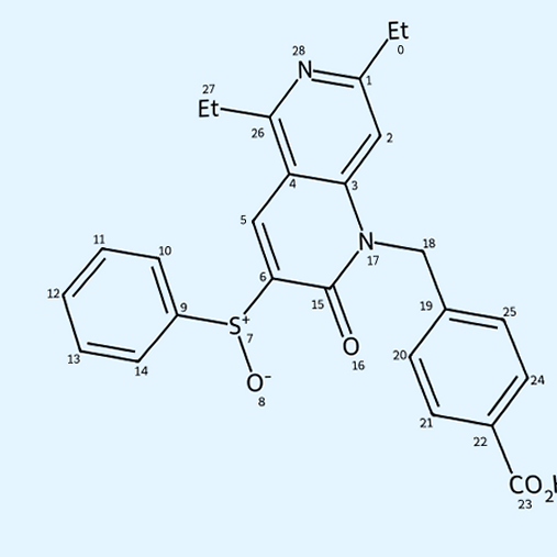 CCc1cc2c(cc([S+]([O-])c3ccccc3)c(=O)n2Cc2ccc(C(=O)O)cc2)c(CC)n1